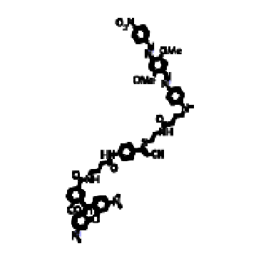 C/N=c1/ccc2c(-c3cc(C(=O)NCCCC(=O)Nc4ccc(C(=CC#N)SCCNC(=O)CCCN(C)c5ccc(/N=N/c6cc(OC)c(/N=N/c7ccc([N+](=O)[O-])cc7)cc6OC)cc5)cc4)ccc3C(=O)O)c3ccc(N(C)C)cc3oc-2c1